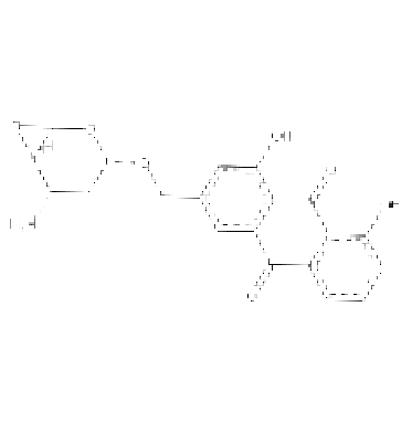 N[C@H]1C[C@@H](OCc2cc(O)c3c(c2)C(=O)c2cccc(O)c2C3=O)OC2O[C@@H]21